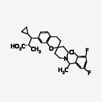 CC(c1cc(F)cc(F)c1Cl)N1CCC2(CCc3ccc(C(C4CC4)[C@H](C)C(=O)O)cc3O2)CC1